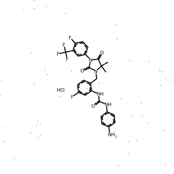 CC1(C)C(=O)N(c2ccc(F)c(C(F)(F)F)c2)C(=O)N1Cc1ccc(F)cc1NC(=O)Nc1ccc(N)cc1.Cl